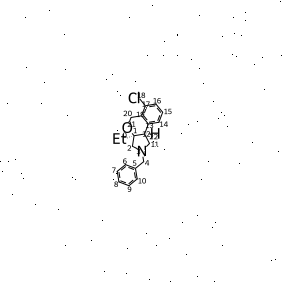 CC[C@@]12CN(Cc3ccccc3)C[C@@H]1c1cccc(Cl)c1CO2